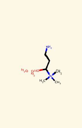 C[N+](C)(C)C(O)CCN.O.O